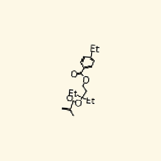 C=C(C)C(=O)OC(CC)(CC)CCOC(=O)c1ccc(CC)cc1